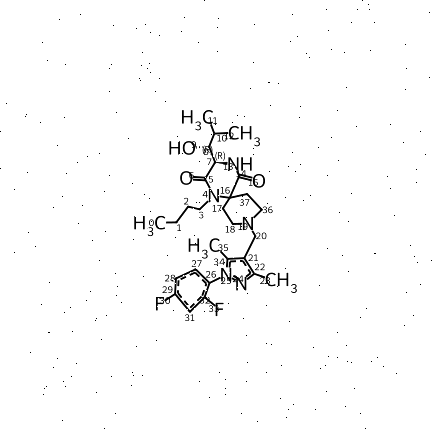 CCCCN1C(=O)[C@@H]([C@H](O)C(C)C)NC(=O)C12CCN(Cc1c(C)nn(-c3ccc(F)cc3F)c1C)CC2